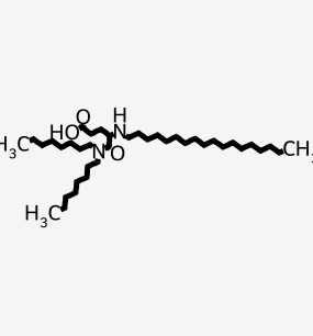 CCCCCCCCCCCCCCCCCCNC(CCC(=O)O)C(=O)N(CCCCCCCC)CCCCCCCC